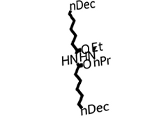 CCCCCCCCCCCCCCCC(=O)NC(=O)CCCCCCCCCCCCCCC.CCCNCC